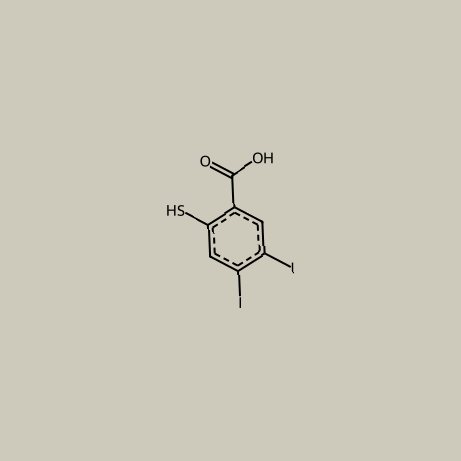 O=C(O)c1cc(I)c(I)cc1S